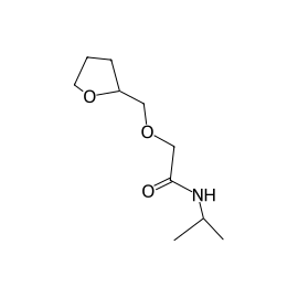 CC(C)NC(=O)COCC1CCCO1